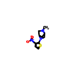 CN1CC2CC1CN2c1sccc1[N+](=O)[O-]